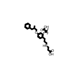 CC(COc1ccc(CCCNCCC(=O)O)cc1)Cc1ccccc1.O=C(O)C(F)(F)F